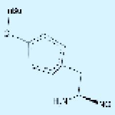 CCCCOc1ccc(C[C@H](N)N=O)cc1